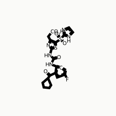 O=C(O)Cc1nc(NC(=O)Nc2ccc(F)cc2C(=O)C2CCCC2)sc1S(=O)(=O)c1ncc[nH]1